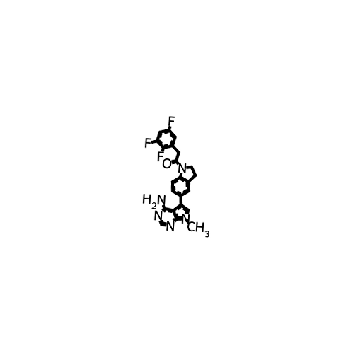 Cn1cc(-c2ccc3c(c2)CCN3C(=O)Cc2cc(F)cc(F)c2F)c2c(N)ncnc21